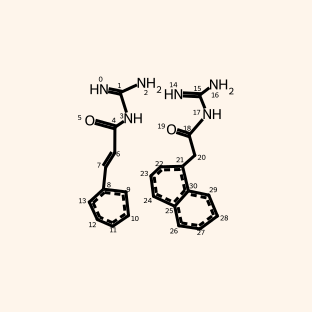 N=C(N)NC(=O)C=Cc1ccccc1.N=C(N)NC(=O)Cc1cccc2ccccc12